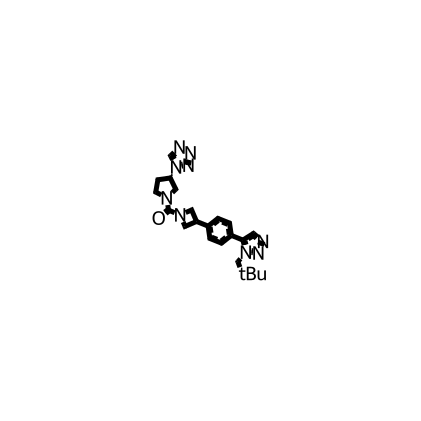 CC(C)(C)Cn1nncc1-c1ccc(C2CN(C(=O)N3CC[C@H](n4cnnn4)C3)C2)cc1